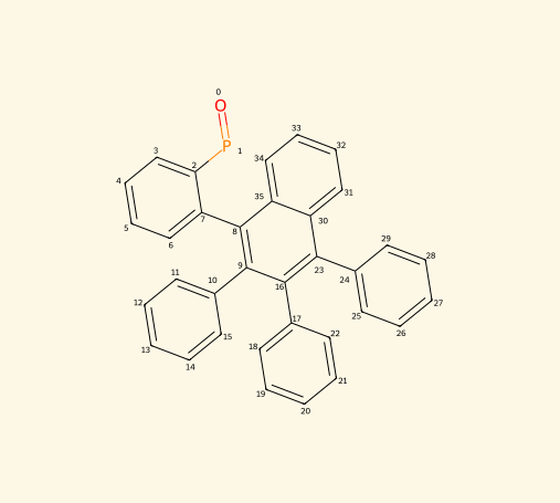 O=Pc1ccccc1-c1c(-c2ccccc2)c(-c2ccccc2)c(-c2ccccc2)c2ccccc12